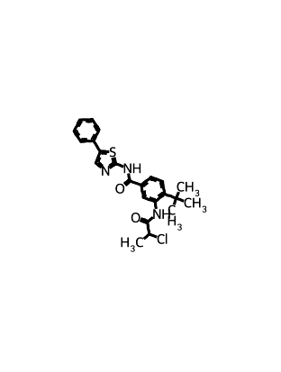 CC(Cl)C(=O)Nc1cc(C(=O)Nc2ncc(-c3ccccc3)s2)ccc1C(C)(C)C